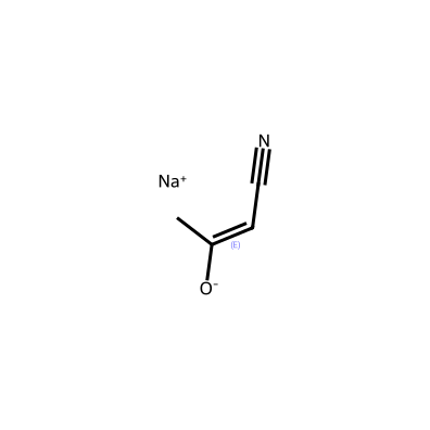 C/C([O-])=C\C#N.[Na+]